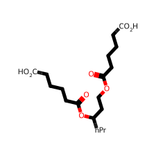 CCCC(CCOC(=O)CCCCC(=O)O)OC(=O)CCCCC(=O)O